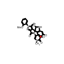 COc1ccccc1-n1nc2c(c1C(C)C)C1(c3ccc(Cl)cc3NC1O)N(c1cc(Cl)c(=O)n(C)c1)C2=O